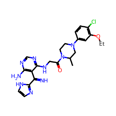 CCOc1cc(N2CCN(C(=O)CNc3ncnc(N)c3C(=N)c3ncc[nH]3)C(C)C2)ccc1Cl